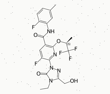 CCn1c(CO)nn(-c2nc(O[C@@H](C)C(F)(F)F)c(C(=O)Nc3cc(C)ccc3F)cc2F)c1=O